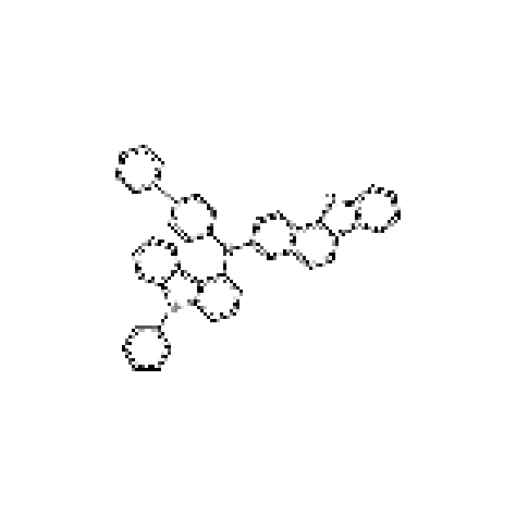 c1ccc(-c2ccc(N(c3ccc4c(ccc5c6ccccc6oc45)c3)c3cccc4c3c3ccccc3n4-c3ccccc3)cc2)cc1